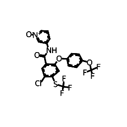 O=C(Nc1ccc[n+]([O-])c1)c1cc(Cl)c(SC(F)(F)F)cc1Oc1ccc(OC(F)(F)F)cc1